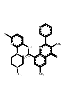 Cc1cc([C@@H](C)Nc2ccc(Cl)nc2N2CCN(C)CC2)c2oc(-c3cccnc3)c(C)c(=O)c2c1